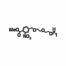 COC(=O)c1ccc(COCCOCCOPI)cc1[N+](=O)[O-]